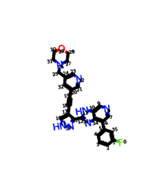 Fc1cccc(-c2cncc3[nH]c(-c4n[nH]cc4C#Cc4cncc(CN5CCOCC5)c4)nc23)c1